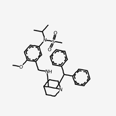 COc1ccc(N(C(C)C)S(C)(=O)=O)cc1CNC1C2CCN(CC2)C1C(c1ccccc1)c1ccccc1